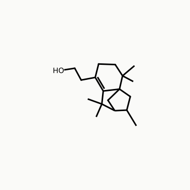 CC1CC23CC1C(C)(C)C2=C(CCO)CCC3(C)C